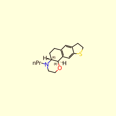 CCCN1CCO[C@@H]2c3cc4c(cc3CC[C@H]21)CCS4